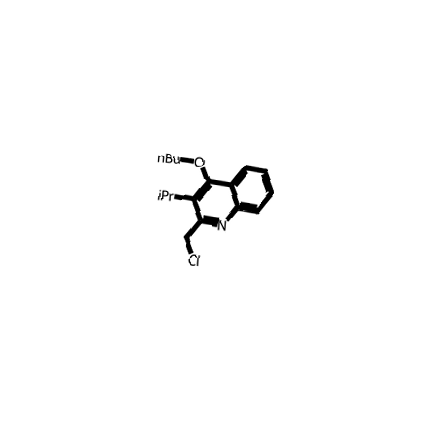 CCCCOc1c(C(C)C)c(CCl)nc2ccccc12